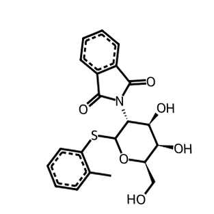 Cc1ccccc1SC1O[C@H](CO)[C@H](O)[C@H](O)[C@H]1N1C(=O)c2ccccc2C1=O